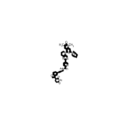 Cc1cc2c(N3CCCc4nc(-c5ccc(C(=O)NCC#Cc6ccc7occ(C8CCC(=O)NC8=O)c7c6)nc5)ncc43)nc(N3CC4CCC(C3)O4)cc2n(C)c1=O